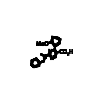 COc1ccccc1-c1nc(N(C)Cc2ccccc2)ncc1C(=O)O